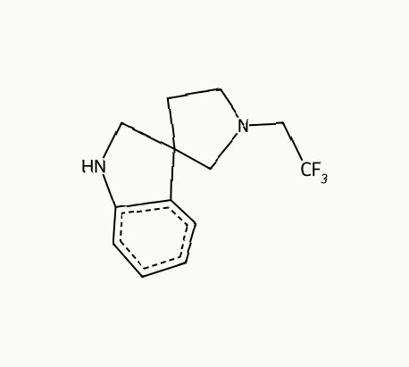 FC(F)(F)CN1CCC2(CNc3ccccc32)C1